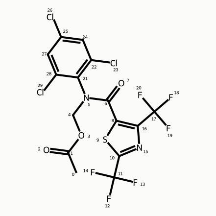 CC(=O)OCN(C(=O)c1sc(C(F)(F)F)nc1C(F)(F)F)c1c(Cl)cc(Cl)cc1Cl